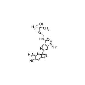 CC(C)Nc1cc(-n2ncc3cc(C#N)c(N)nc32)ncc1C(=O)NCC1CC1C(C)(C)O